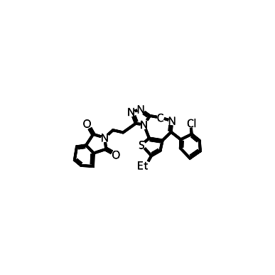 CCc1cc2c(s1)-n1c(CCN3C(=O)c4ccccc4C3=O)nnc1CN=C2c1ccccc1Cl